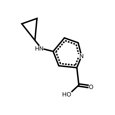 O=C(O)c1cc(NC2CC2)ccn1